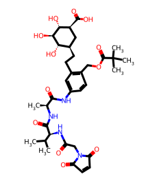 CC(C)[C@H](NC(=O)CN1C(=O)C=CC1=O)C(=O)N[C@@H](C)C(=O)Nc1ccc(COC(=O)C(C)(C)C)c(CC[C@@H]2C[C@H](C(=O)O)[C@@H](O)[C@H](O)[C@H]2O)c1